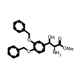 COC(=O)[C@@H](N)C(O)c1ccc(OCc2ccccc2)c(OCc2ccccc2)c1